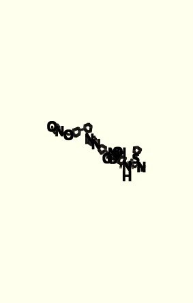 Cc1cc(S(=O)(=O)NC(=O)c2ccc(N3CCN(Cc4ccccc4-c4ccc(OCCN5CCOCC5)cc4)CC3)cc2)ccc1N[C@H](CCN(C)C)CSc1ccccc1